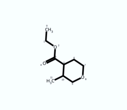 CCOC(=O)C1CCOCC1C